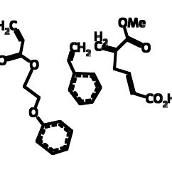 C=C(CC=CC(=O)O)C(=O)OC.C=CC(=O)OCCOc1ccccc1.C=Cc1ccccc1